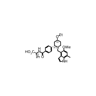 CCO[C@H]1CCN(Cc2c(OC)cc(C)c3[nH]ccc23)[C@H](c2ccc(C(=O)N[C@H](C(=O)O)C(C)C)cc2)C1